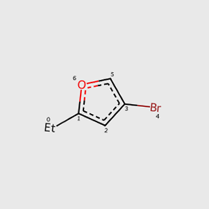 CCc1cc(Br)co1